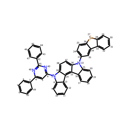 c1ccc(-c2cc(-n3c4ccccc4c4c5c6ccccc6n(-c6ccc7sc8ccccc8c7c6)c5ccc43)nc(-c3ccccc3)n2)cc1